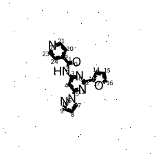 O=C(Nc1cc(-n2cccn2)nc(-c2ccco2)n1)c1ccncc1